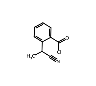 CC(C#N)c1ccccc1C(=O)Cl